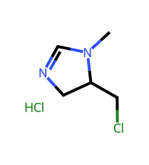 CN1C=NCC1CCl.Cl